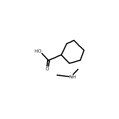 CNC.O=C(O)C1CCCCC1